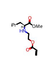 C=CC(=O)OCCN[C@@H](CC(C)C)C(=O)OC